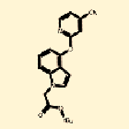 CC(C)(C)OC(=O)Cn1ccc2c(Oc3cc(C#N)ccn3)cccc21